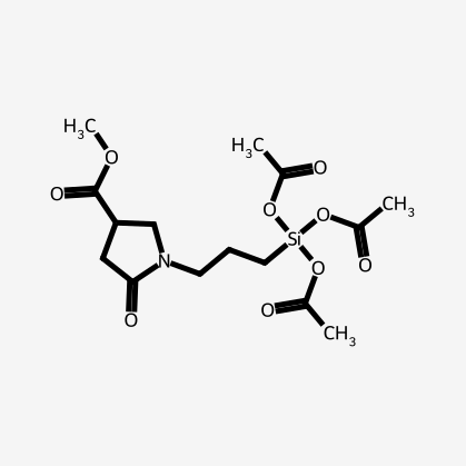 COC(=O)C1CC(=O)N(CCC[Si](OC(C)=O)(OC(C)=O)OC(C)=O)C1